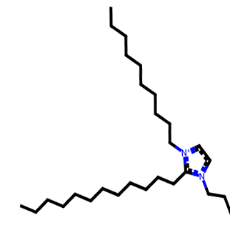 CCCCCCCCCCCCc1n(CCC)cc[n+]1CCCCCCCCCC